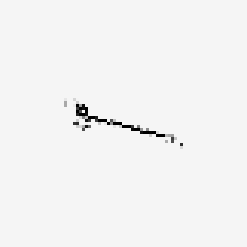 CCCCCCCCCCCCCCCCCCC(C)c1ccc(O)cc1